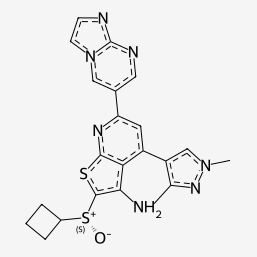 Cc1nn(C)cc1-c1cc(-c2cnc3nccn3c2)nc2sc([S@+]([O-])C3CCC3)c(N)c12